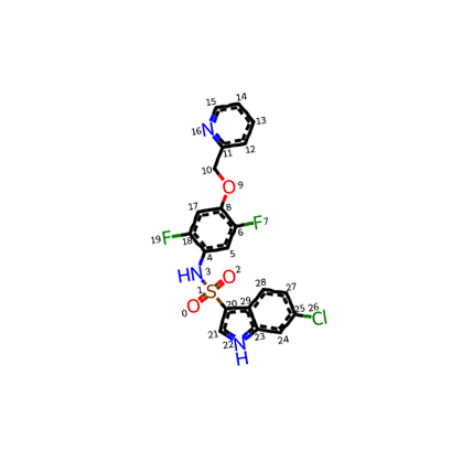 O=S(=O)(Nc1cc(F)c(OCc2ccccn2)cc1F)c1c[nH]c2cc(Cl)ccc12